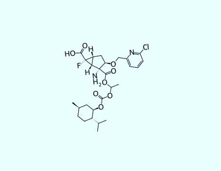 CC(OC(=O)O[C@@H]1C[C@H](C)CC[C@H]1C(C)C)OC(=O)[C@@]1(N)[C@H]2[C@@H](C[C@H]1OCc1cccc(Cl)n1)[C@]2(F)C(=O)O